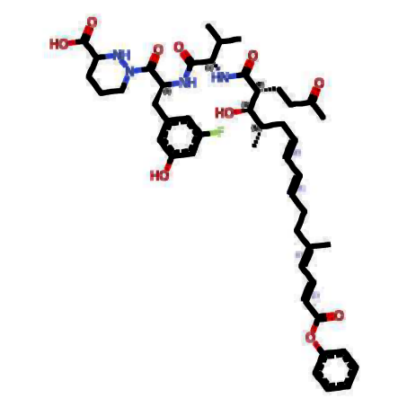 CC(=O)CC[C@@H](C(=O)N[C@H](C(=O)N[C@@H](Cc1cc(O)cc(F)c1)C(=O)N1CCCC(C(=O)O)N1)C(C)C)[C@H](O)[C@@H](C)C/C=C/C=C/CC/C(C)=C/C=C/C(=O)Oc1ccccc1